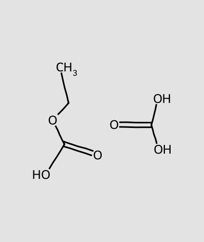 CCOC(=O)O.O=C(O)O